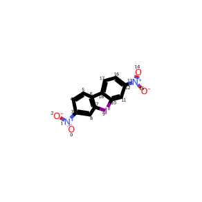 O=[N+]([O-])c1ccc2c(c1)[I+]c1cc([N+](=O)[O-])ccc1-2